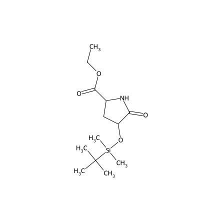 CCOC(=O)C1CC(O[Si](C)(C)C(C)(C)C)C(=O)N1